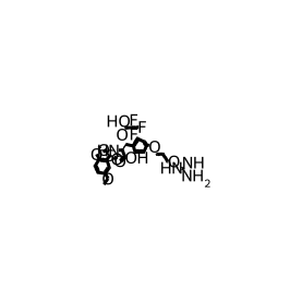 COc1ccc(OC)c(S(=O)(=O)N[C@@H](Cc2ccc(OCCCONC(=N)N)cc2)C(=O)O)c1.O=C(O)C(F)(F)F